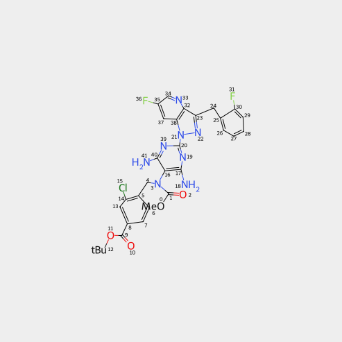 COC(=O)N(Cc1ccc(C(=O)OC(C)(C)C)cc1Cl)c1c(N)nc(-n2nc(Cc3ccccc3F)c3ncc(F)cc32)nc1N